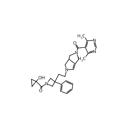 Cc1ncnc(C)c1C(=O)N1CC2=CN(CCC3(c4ccccc4)CN(C(=O)C4(O)CC4)C3)CC2C1